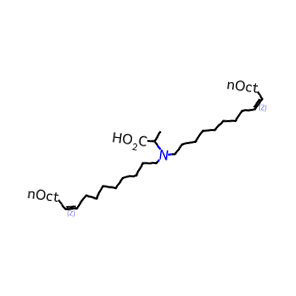 CCCCCCCC/C=C\CCCCCCCCN(CCCCCCCC/C=C\CCCCCCCC)C(C)C(=O)O